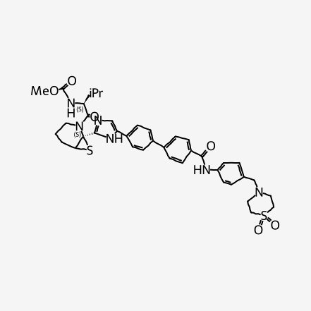 COC(=O)N[C@H](C(=O)N1CCCC2S[C@@]21c1ncc(-c2ccc(-c3ccc(C(=O)Nc4ccc(CN5CCS(=O)(=O)CC5)cc4)cc3)cc2)[nH]1)C(C)C